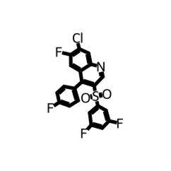 O=S(=O)(c1cc(F)cc(F)c1)c1cnc2cc(Cl)c(F)cc2c1-c1ccc(F)cc1